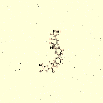 Cn1c(C(=O)C2C[C@@H](F)[C@H](Br)C2)cc2ccc(-c3nccc(Nc4ccc(-c5cn[nH]c5)cc4)n3)cc21